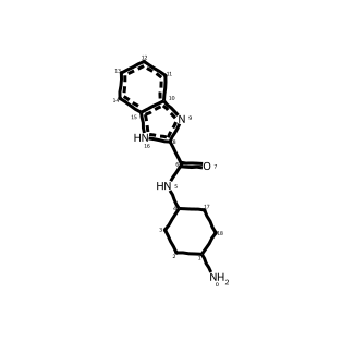 NC1CCC(NC(=O)c2nc3ccccc3[nH]2)CC1